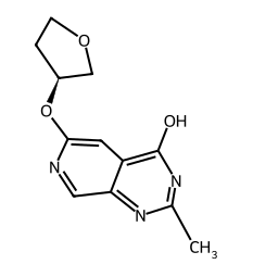 Cc1nc(O)c2cc(O[C@H]3CCOC3)ncc2n1